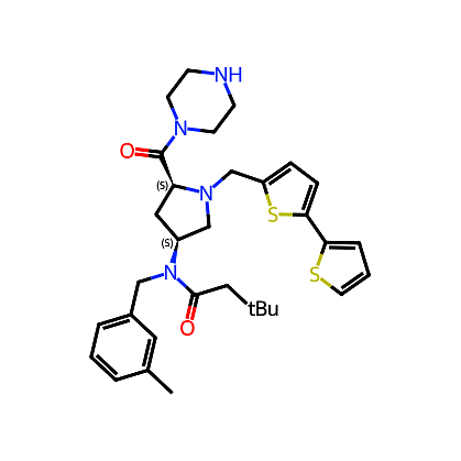 Cc1cccc(CN(C(=O)CC(C)(C)C)[C@H]2C[C@@H](C(=O)N3CCNCC3)N(Cc3ccc(-c4cccs4)s3)C2)c1